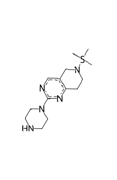 CS(C)(C)N1CCc2nc(N3CCNCC3)ncc2C1